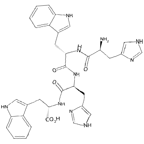 N[C@@H](Cc1c[nH]cn1)C(=O)N[C@@H](Cc1c[nH]c2ccccc12)C(=O)N[C@@H](Cc1c[nH]cn1)C(=O)N[C@@H](Cc1c[nH]c2ccccc12)C(=O)O